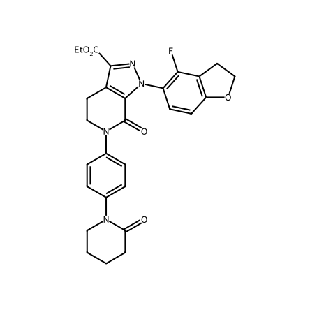 CCOC(=O)c1nn(-c2ccc3c(c2F)CCO3)c2c1CCN(c1ccc(N3CCCCC3=O)cc1)C2=O